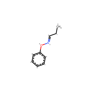 CC/[C]=N/Oc1ccccc1